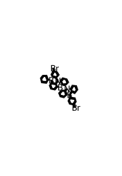 Brc1ccc(B2c3ccccc3N3c4cccc5c4B(c4cccc2c43)c2cccc3c2N5c2ccc(Br)cc2B3c2ccccc2)cc1